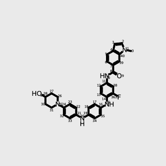 Cn1ccc2ccc(C(=O)Nc3ccc(Nc4ccc(Nc5ccc(N6CCC(O)CC6)cc5)cc4)c(F)c3)cc21